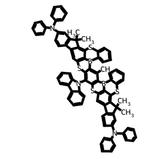 Cc1c2c(c(-n3c4ccccc4c4ccccc43)c3c1B1c4ccccc4Sc4c1c(cc1c4C(C)(C)c4cc(N(c5ccccc5)c5ccccc5)ccc4-1)S3)Sc1cc3c(c4c1B2c1ccccc1S4)C(C)(C)c1cc(N(c2ccccc2)c2ccccc2)ccc1-3